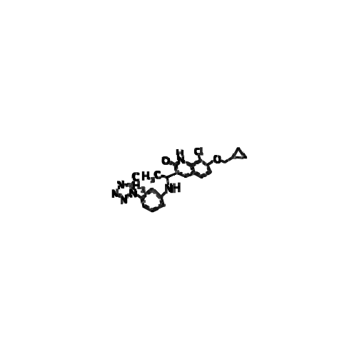 Cc1nnnn1-c1cccc(N[C@@H](C)c2cc3ccc(OCC4CC4)c(Cl)c3[nH]c2=O)c1